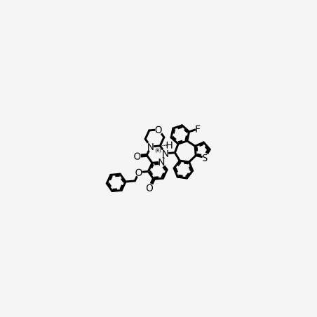 O=C1c2c(OCc3ccccc3)c(=O)ccn2N(C2c3ccccc3-c3sccc3-c3c(F)cccc32)[C@@H]2COCCN12